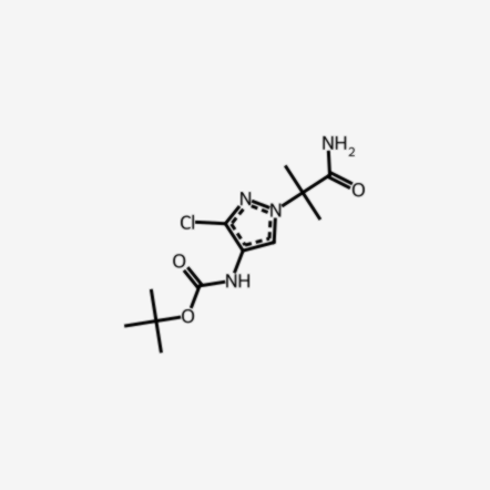 CC(C)(C)OC(=O)Nc1cn(C(C)(C)C(N)=O)nc1Cl